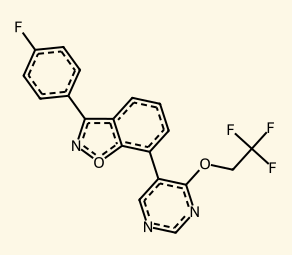 Fc1ccc(-c2noc3c(-c4cncnc4OCC(F)(F)F)cccc23)cc1